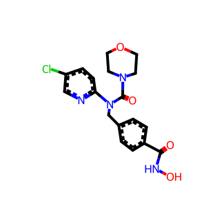 O=C(NO)c1ccc(CN(C(=O)N2CCOCC2)c2ccc(Cl)cn2)cc1